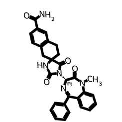 CN1C(=O)[C@@H](N2C(=O)NC3(CCc4cc(C(N)=O)ccc4C3)C2=O)N=C(c2ccccc2)c2ccccc21